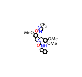 COc1ccc(CC2c3cc(Oc4nccc(C(F)(F)F)n4)c(OC)cc3CCN2CC(=O)NC2CCc3ccccc32)cc1OC